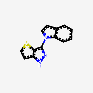 c1ccc2c(c1)ccn2-c1n[nH]c2ccsc12